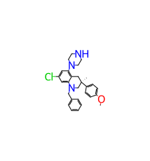 COc1ccc([C@]2(C)Cc3c(N4CCNCC4)cc(Cl)cc3N(Cc3ccccc3)C2)cc1